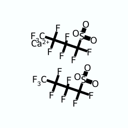 O=S(=O)([O-])C(F)(F)C(F)(F)C(F)(F)C(F)(F)F.O=S(=O)([O-])C(F)(F)C(F)(F)C(F)(F)C(F)(F)F.[Ca+2]